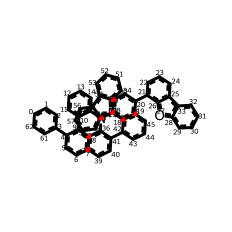 c1ccc(-c2ccccc2-c2ccccc2N(c2ccc(-c3cccc4c3oc3ccccc34)cc2)c2ccccc2-c2ccccc2-n2c3ccccc3c3ccccc32)cc1